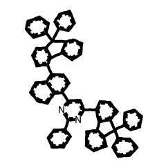 c1ccc(-c2nc(-c3cccc4c3-c3ccccc3C4(c3ccccc3)c3ccccc3)cc(-c3ccc(-c4cccc5c4-c4ccccc4C5(c4ccccc4)c4ccccc4)c4ccccc34)n2)cc1